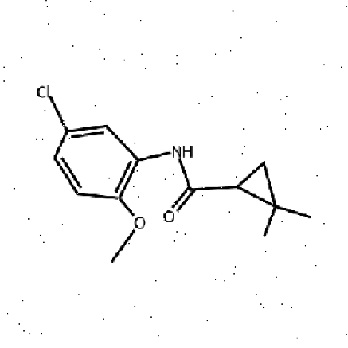 COc1ccc(Cl)cc1NC(=O)C1CC1(C)C